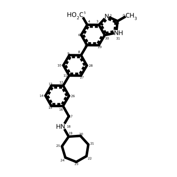 Cc1nc2c(C(=O)O)cc(-c3ccc(-c4cccc(CNC5CCCCCC5)c4)cc3)cc2[nH]1